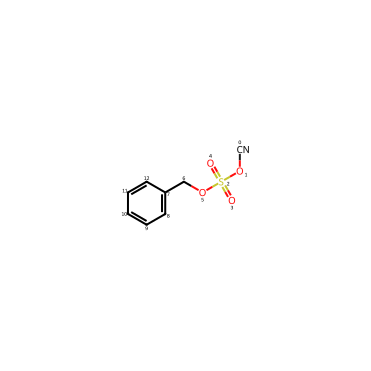 N#COS(=O)(=O)OCc1ccccc1